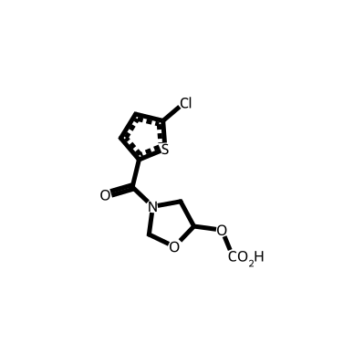 O=C(O)OC1CN(C(=O)c2ccc(Cl)s2)CO1